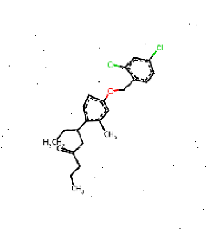 C=C(CCC)CC(CC)c1ccc(OCc2ccc(Cl)cc2Cl)cc1C